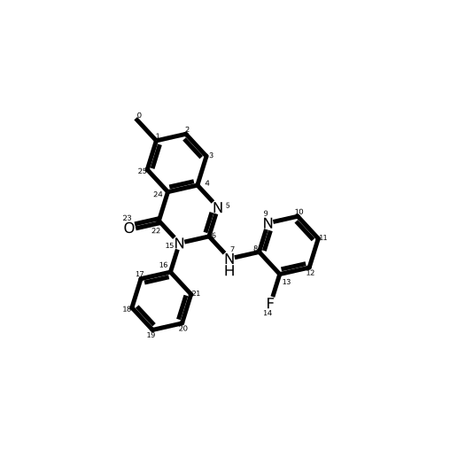 Cc1ccc2nc(Nc3ncccc3F)n(-c3ccccc3)c(=O)c2c1